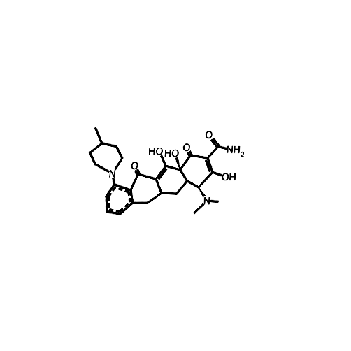 CC1CCN(c2cccc3c2C(=O)C2=C(O)[C@]4(O)C(=O)C(C(N)=O)=C(O)[C@@H](N(C)C)C4CC2C3)CC1